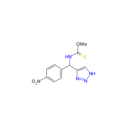 COC(=S)NC(c1ccc([N+](=O)[O-])cc1)c1c[nH]nn1